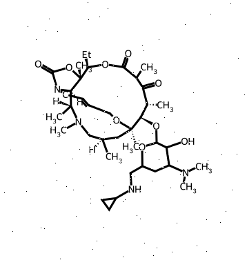 CC[C@H]1OC(=O)C(C)C(=O)[C@H](C)[C@@H](OC2OC(CNC3CC3)CC(N(C)C)C2O)[C@@]2(C)C[C@@H](C)CN(C)[C@H](C)[C@H]3N(C/C=C\CO2)C(=O)O[C@]13C